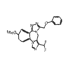 COC1C=C2C(=CC1)n1cnc(C(F)F)c1Cn1c(COc3ccccc3)nnc12